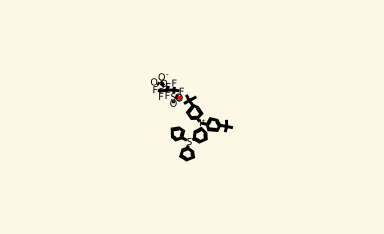 CC(C)(C)c1ccc([I+]c2ccc(C(C)(C)C)cc2)cc1.O=S(=O)([O-])C(F)(F)C(F)(F)C(F)(F)S(=O)(=O)[O-].c1ccc([S+](c2ccccc2)c2ccccc2)cc1